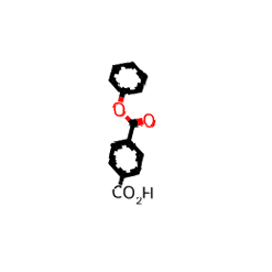 O=C(O)c1ccc(C(=O)Oc2ccccc2)cc1